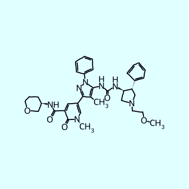 COCCN1C[C@@H](NC(=O)Nc2c(C)c(-c3cc(C(=O)N[C@@H]4CCCOC4)c(=O)n(C)c3)nn2-c2ccccc2)[C@H](c2ccccc2)C1